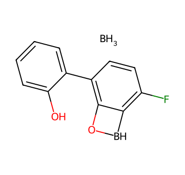 B.Oc1ccccc1-c1ccc(F)c2c1OB2